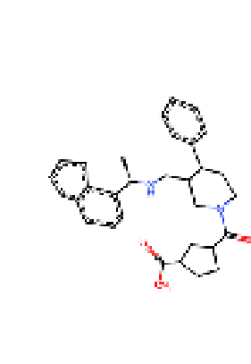 C[C@@H](NCC1CN(C(=O)C2CCC(C(=O)O)C2)CCC1c1ccccc1)c1cccc2ccccc12